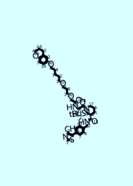 Cc1ncsc1-c1ccc(CNC(=O)[C@@H]2CCCN(C(=O)[C@@H](NC(=O)COCCCOCCCCCOc3ccc4c(c3)CCCO4)C(C)(C)C)[SiH2]2)cc1